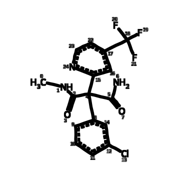 CNC(=O)C(C(N)=O)(c1cccc(Cl)c1)c1cc(C(F)(F)F)ccn1